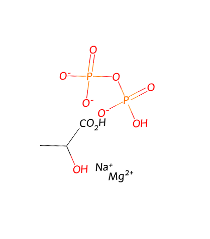 CC(O)C(=O)O.O=P([O-])([O-])OP(=O)([O-])O.[Mg+2].[Na+]